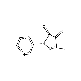 C=C1C(=O)N(c2cccnc2)N=C1C